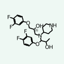 CC(O)C(Oc1ccc(F)c(F)c1)N(C[C@H](O)COc1ccc(F)c(F)c1)C1CCNCC1